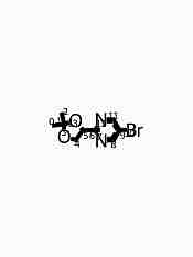 CC1(C)OCC(c2ncc(Br)cn2)O1